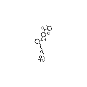 Cc1ccccc1C(=O)c1ccc(Nc2ccccc2/C=C/COCC2COC(C)(C)O2)cc1Cl